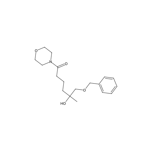 CC(O)(CCCC(=O)N1CCOCC1)COCc1ccccc1